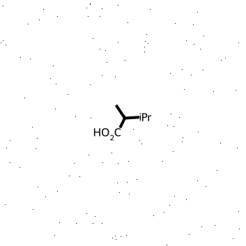 C[C](C(=O)O)C(C)C